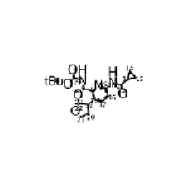 CC(C)(C)OC(=O)NC(=O)c1nc(NC(=O)C2CC2)ccc1C1CCOC1